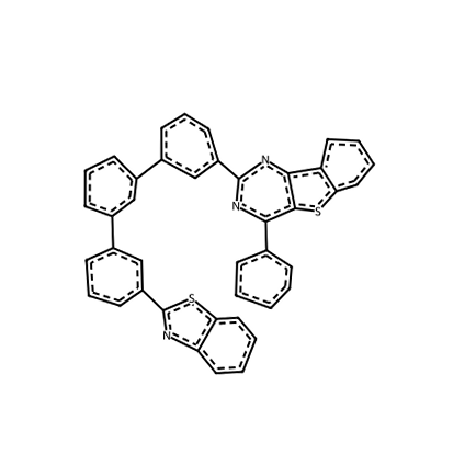 c1ccc(-c2nc(-c3cccc(-c4cccc(-c5cccc(-c6nc7ccccc7s6)c5)c4)c3)nc3c2sc2ccccc23)cc1